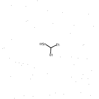 CC[CH]([SnH])CC